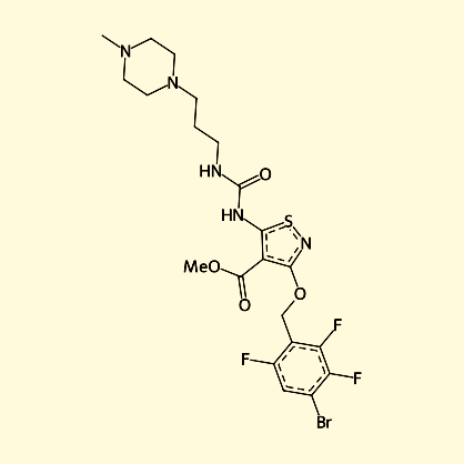 COC(=O)c1c(OCc2c(F)cc(Br)c(F)c2F)nsc1NC(=O)NCCCN1CCN(C)CC1